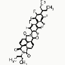 CCC(CC)c1c(F)c(F)c(-c2c(F)c(F)c(N3C(=O)c4ccc5c6c(ccc(c46)C3=O)C(=O)N(C(CC)CC)C5=O)c(F)c2F)c(F)c1F